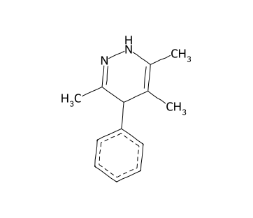 CC1=NNC(C)=C(C)C1c1ccccc1